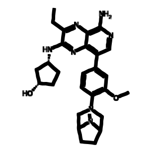 CCc1nc2c(N)ncc(-c3ccc(N4CC5CCC(C4)N5C)c(OC)c3)c2nc1N[C@@H]1CC[C@H](O)C1